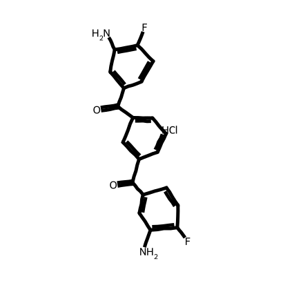 Cl.Nc1cc(C(=O)c2cccc(C(=O)c3ccc(F)c(N)c3)c2)ccc1F